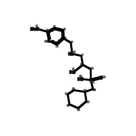 COc1ccc(CNCC(O)CP(=O)(O)CC2CCCCC2)cn1